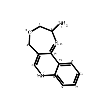 NC1COCC2=CNc3ccccc3C2=N1